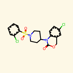 O=C1OCc2cc(Cl)ccc2N1C1CCN(S(=O)(=O)c2ccccc2Cl)CC1